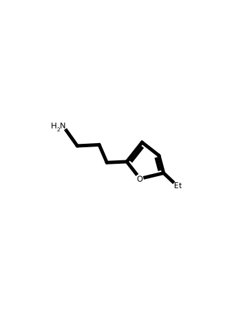 CCc1ccc(CCCN)o1